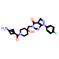 NC12CC(C(=O)N3CCC(O)(Cn4cnc5c(cnn5-c5ccc(F)cc5)c4=O)CC3)(C1)C2